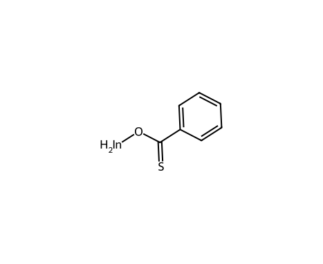 S=C([O][InH2])c1ccccc1